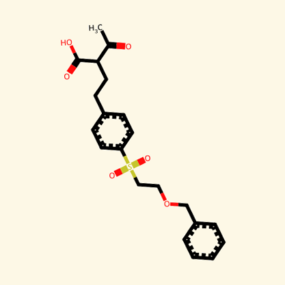 CC(=O)C(CCc1ccc(S(=O)(=O)CCOCc2ccccc2)cc1)C(=O)O